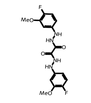 COc1cc(NNC(=O)C(=O)NNc2ccc(F)c(OC)c2)ccc1F